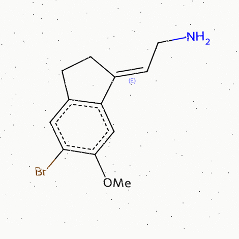 COc1cc2c(cc1Br)CC/C2=C\CN